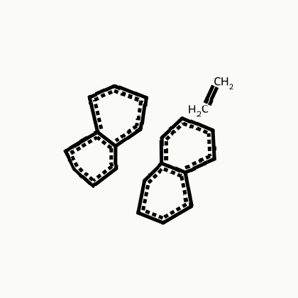 C=C.c1ccc2ccccc2c1.c1ccc2ccccc2c1